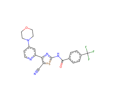 N#Cc1sc(NC(=O)c2ccc(C(F)(F)F)cc2)nc1-c1cc(N2CCOCC2)ccn1